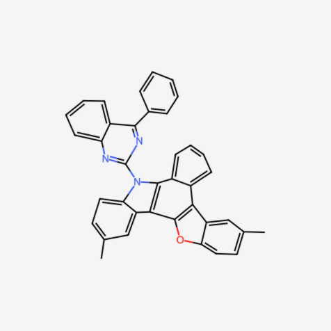 Cc1ccc2oc3c(c2c1)c1ccccc1c1c3c2cc(C)ccc2n1-c1nc(-c2ccccc2)c2ccccc2n1